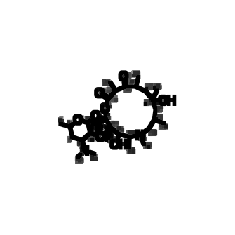 CCC1(OC2OC(C)CC(N(C)C)C2O)OC(=O)C(C)C(=O)C(C)CC(C)(O)CC(C)CN(C)C(C)C(O)C1(C)O